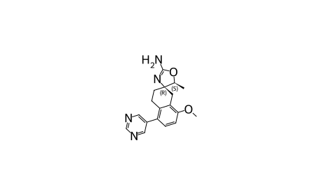 COc1ccc(-c2cncnc2)c2c1C[C@@]1(CC2)N=C(N)O[C@H]1C